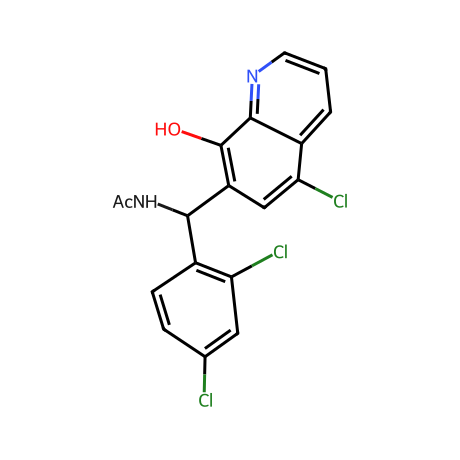 CC(=O)NC(c1ccc(Cl)cc1Cl)c1cc(Cl)c2cccnc2c1O